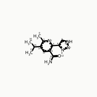 Cc1nc(-c2c[nH]nn2)c(C(N)=O)cc1C(C)C